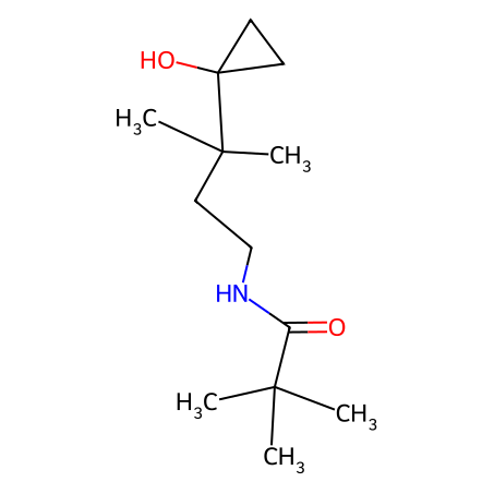 CC(C)(C)C(=O)NCCC(C)(C)C1(O)CC1